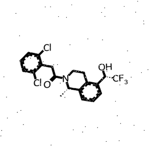 C[C@H]1c2cccc([C@H](O)C(F)(F)F)c2CCN1C(=O)Cc1c(Cl)cccc1Cl